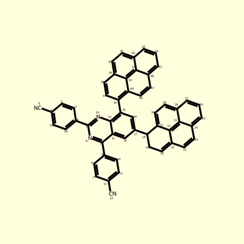 N#Cc1ccc(-c2nc(-c3ccc(C#N)cc3)c3cc(C4CC=c5ccc6cccc7ccc4c5c76)cc(-c4ccc5ccc6cccc7ccc4c5c67)c3n2)cc1